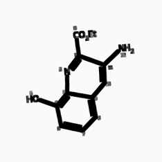 CCOC(=O)c1nc2c(O)cccc2cc1N